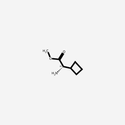 COC(=O)[C@@H](N)C1CCC1